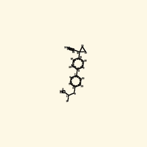 CC(O)Cc1ccc(-c2ccc(C3(C#N)CC3)cn2)cc1